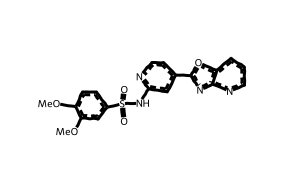 COc1ccc(S(=O)(=O)Nc2cc(-c3nc4ncccc4o3)ccn2)cc1OC